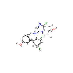 CCC(C=O)(CC)c1nc(N(Cc2ccc(OC)cc2)c2ccc(F)cc2F)cnc1Br